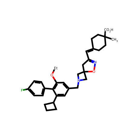 CCOc1cc(CN2CC3(CC(C=C4CCC(C)(C(=O)O)CC4)=NO3)C2)cc(C2CCC2)c1-c1ccc(F)cc1